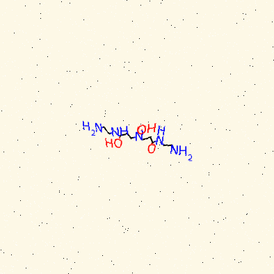 NCCNC(=O)CCN(O)CCC(O)NCCN